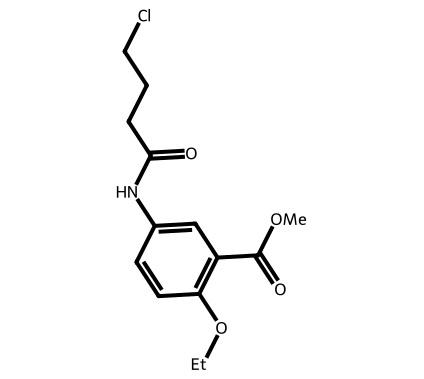 CCOc1ccc(NC(=O)CCCCl)cc1C(=O)OC